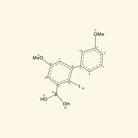 COc1cccc(-c2cc(OC)cc(B(O)O)c2I)c1